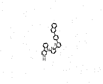 C1=Cc2c(n(-c3cccc(-c4cccc(-c5ccc(-c6ccc7ccccc7c6)cc5)n4)n3)c3ccccc23)CN1